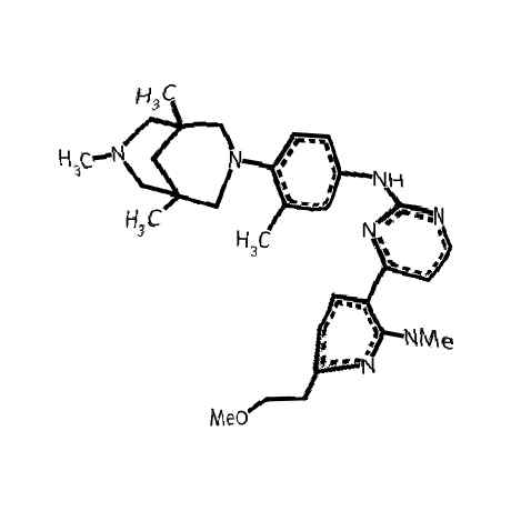 CNc1nc(CCOC)ccc1-c1ccnc(Nc2ccc(N3CC4(C)CN(C)CC(C)(C3)C4)c(C)c2)n1